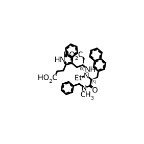 CCN(N[C@H](CC(=O)O)Cc1c(CCC(=O)O)[nH]c2ccccc12)[C@@H](Cc1ccc2ccccc2c1)C(=O)N(C)Cc1ccccc1